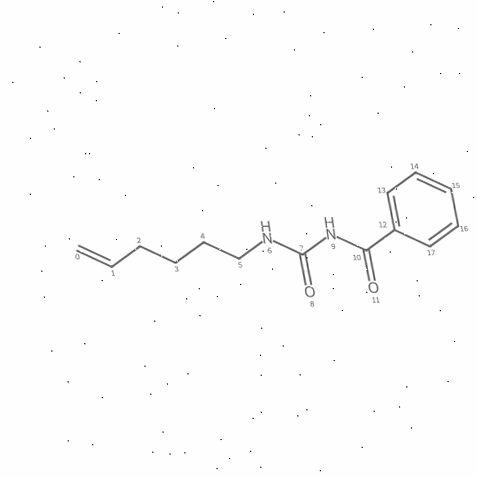 C=CCCCCNC(=O)NC(=O)c1ccccc1